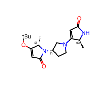 C[C@@H]1NC(=O)C=C1N1CC[C@H](N2C(=O)C=C(OC(C)(C)C)[C@@H]2C)C1